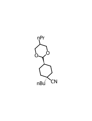 CCCC[C@]1(C#N)CC[C@@H](C2OCC(CCC)CO2)CC1